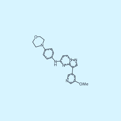 COc1cncc(-c2cnn3ccc(Nc4ccc(N5CCOCC5)cc4)nc23)c1